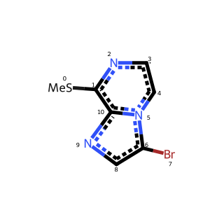 CSc1n[c]cn2c(Br)cnc12